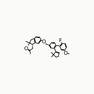 COc1ccc(F)c(-c2ccc(COc3ccc4c(c3)[C@@H](CC(C)=O)C(C)(C)C4)cc2C2=CCCC2(C)C)c1